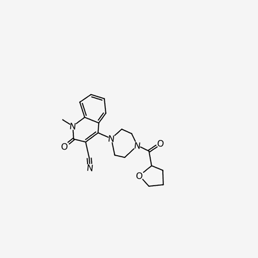 Cn1c(=O)c(C#N)c(N2CCN(C(=O)C3CCCO3)CC2)c2ccccc21